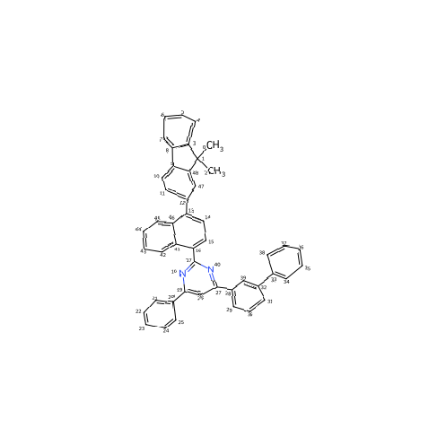 CC1(C)c2ccccc2-c2ccc(-c3ccc(-c4nc(-c5ccccc5)cc(-c5cccc(-c6ccccc6)c5)n4)c4ccccc34)cc21